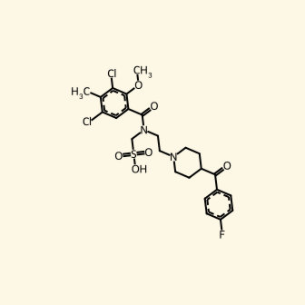 COc1c(C(=O)N(CCN2CCC(C(=O)c3ccc(F)cc3)CC2)CS(=O)(=O)O)cc(Cl)c(C)c1Cl